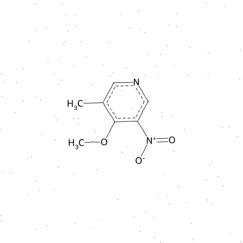 COc1c(C)cncc1[N+](=O)[O-]